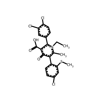 CCn1c(C)c(-c2ccc(Cl)cc2SC)c(=O)c(C(=O)O)c1-c1ccc(Cl)c(Cl)c1